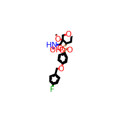 COC1(C(=O)NO)COCCC1S(=O)(=O)c1ccc(OCc2ccc(F)cc2)cc1